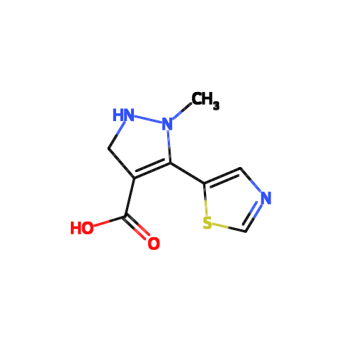 CN1NCC(C(=O)O)=C1c1cncs1